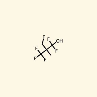 CC(CF)(C(O)(F)F)C(F)(F)F